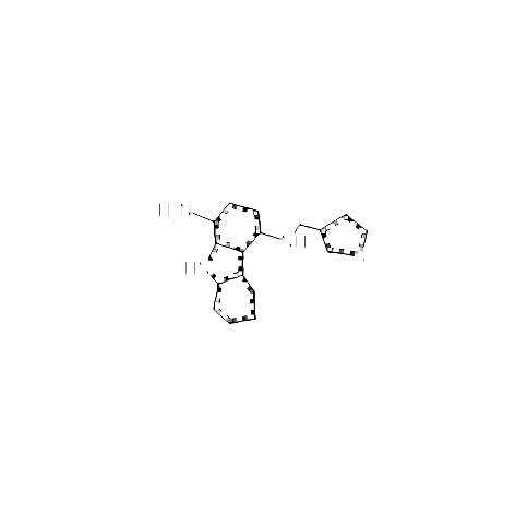 Nc1ccc(NCc2ccsc2)c2c1[nH]c1ccccc12